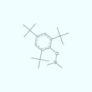 C[Si](C)Oc1c(C(C)(C)C)cc(C(C)(C)C)cc1C(C)(C)C